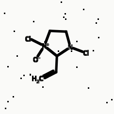 C=CC1N(Cl)CC[N+]1([O-])Cl